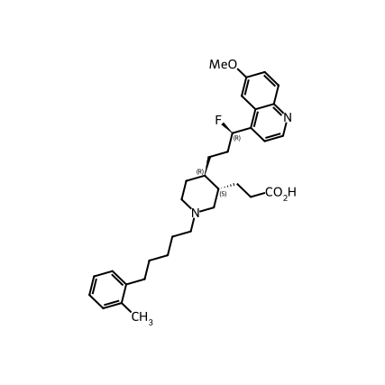 COc1ccc2nccc([C@H](F)CC[C@@H]3CCN(CCCCCc4ccccc4C)C[C@H]3CCC(=O)O)c2c1